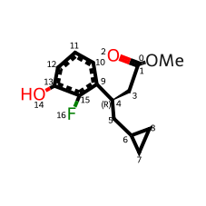 COC(=O)C[C@@H](CC1CC1)c1cccc(O)c1F